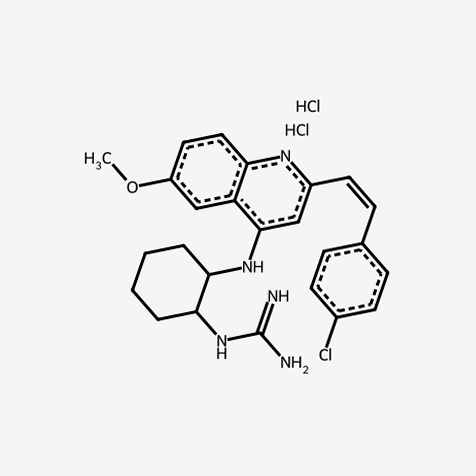 COc1ccc2nc(/C=C\c3ccc(Cl)cc3)cc(NC3CCCCC3NC(=N)N)c2c1.Cl.Cl